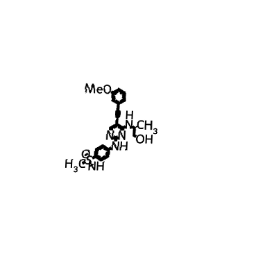 COc1cccc(C#Cc2cnc(Nc3ccc(S(C)(=N)=O)cc3)nc2N[C@H](C)CO)c1